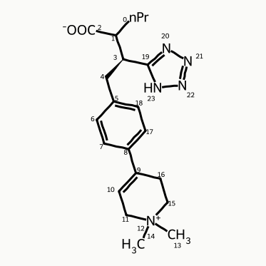 CCCC(C(=O)[O-])[C@H](Cc1ccc(C2=CC[N+](C)(C)CC2)cc1)c1nnn[nH]1